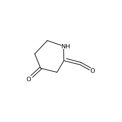 O=C=C1CC(=O)CCN1